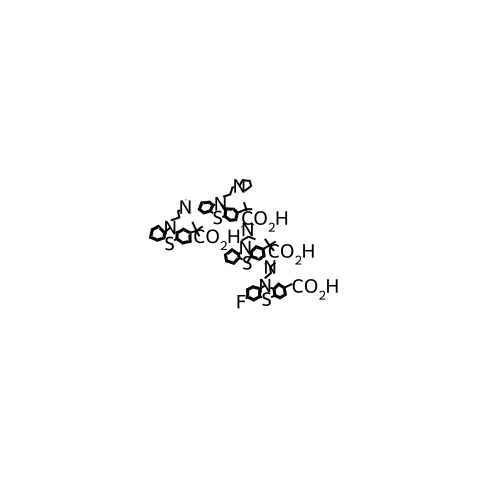 CC(C)(C(=O)O)c1ccc2c(c1)N(CCCN1CCCC1)c1ccccc1S2.CC(CN1c2ccccc2Sc2ccc(C(C)(C)C(=O)O)cc21)N(C)C.CN(C)CCCN1c2ccccc2Sc2ccc(C(C)(C)C(=O)O)cc21.CN(C)CCN1c2ccc(F)cc2Sc2ccc(CC(=O)O)cc21